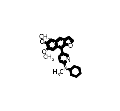 COc1cc2cc3ccoc3c(-c3ccc(N(C)C4CCCCC4)nc3)c2cc1OC